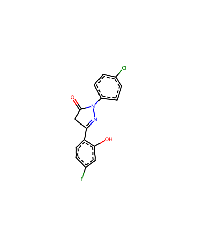 O=C1CC(c2ccc(F)cc2O)=NN1c1ccc(Cl)cc1